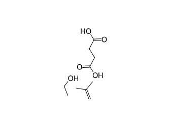 C=C(C)C.CCO.O=C(O)CCC(=O)O